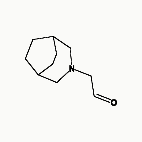 O=CCN1CC2CCC(CC2)C1